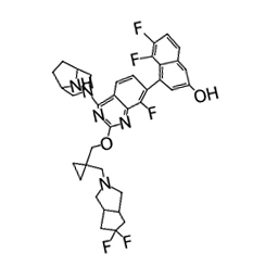 Oc1cc(-c2ccc3c(N4CC5CCC(C4)N5)nc(OCC4(CN5CC6CC(F)(F)CC6C5)CC4)nc3c2F)c2c(F)c(F)ccc2c1